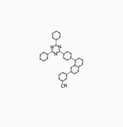 N#Cc1cccc(-c2ccc3cccc(-c4ccc(-c5nc(-c6ccccc6)nc(-c6ccccc6)n5)cc4)c3c2)c1